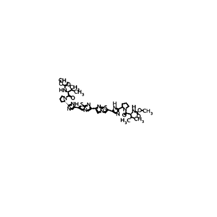 COC(=O)N[C@H](C(=O)N1CCCC1c1ncc(-c2cn3cc(-c4cn5cc(-c6cnc([C@@H]7CCCN7C(=O)[C@@H](NC(=O)OC)C(C)C)[nH]6)sc5n4)nc3s2)[nH]1)C(C)C